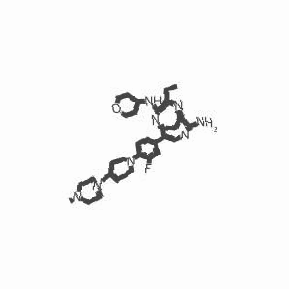 CCC1=C(NC2CCOCC2)N=C2CC(=N1)C(N)=NC=C2c1ccc(N2CCC(N3CCN(C)CC3)CC2)c(F)c1